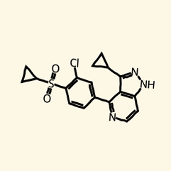 O=S(=O)(c1ccc(-c2nccc3[nH]nc(C4CC4)c23)cc1Cl)C1CC1